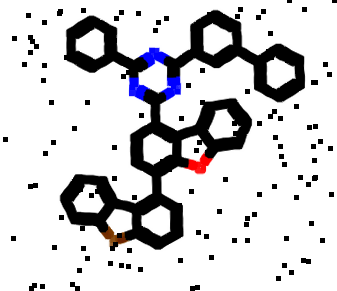 c1ccc(-c2cccc(-c3nc(-c4ccccc4)nc(-c4ccc(-c5cccc6sc7ccccc7c56)c5oc6ccccc6c45)n3)c2)cc1